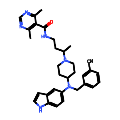 Cc1ncnc(C)c1C(=O)NCCC(C)N1CCC(N(Cc2cccc(C#N)c2)c2ccc3[nH]ccc3c2)CC1